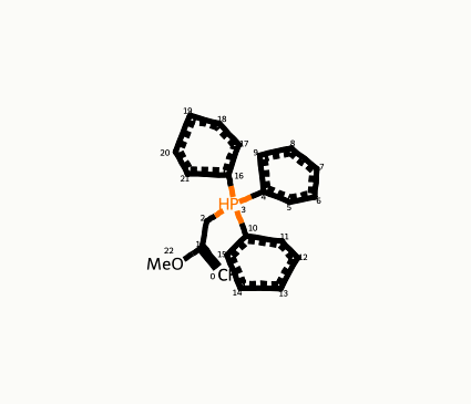 C=C(C[PH](c1ccccc1)(c1ccccc1)c1ccccc1)OC